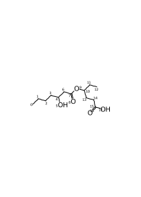 CCCCC(O)CC(=O)OC(CC)CCC(=O)O